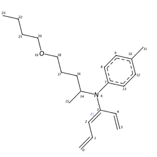 C=C/C=C(\C=C)N(c1ccc(C)cc1)C(C)CCCOCCCC